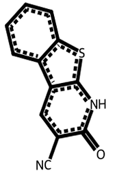 N#Cc1cc2c([nH]c1=O)sc1ccccc12